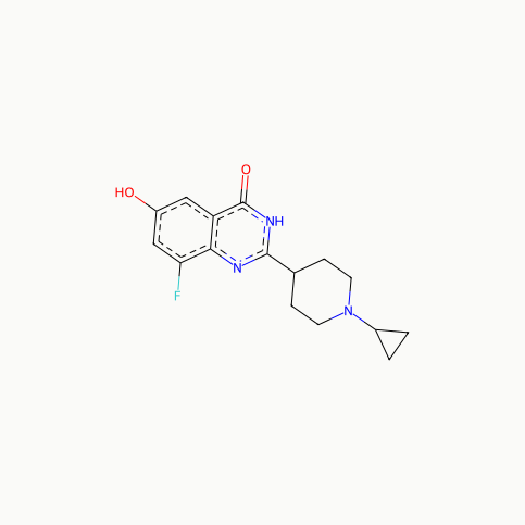 O=c1[nH]c(C2CCN(C3CC3)CC2)nc2c(F)cc(O)cc12